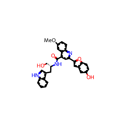 COc1ccc2nc(-c3cc4cc(O)ccc4o3)cc(C(=O)N[C@@H](CO)Cc3c[nH]c4ccccc34)c2c1